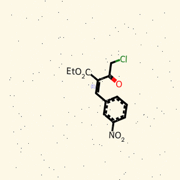 CCOC(=O)/C(=C/c1cccc([N+](=O)[O-])c1)C(=O)CCl